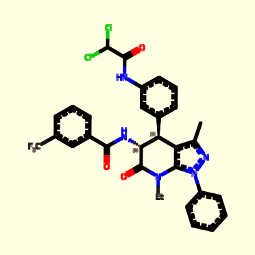 CCN1C(=O)[C@H](NC(=O)c2cccc(C(F)(F)F)c2)[C@@H](c2cccc(NC(=O)C(Cl)Cl)c2)c2c(C)nn(-c3ccccc3)c21